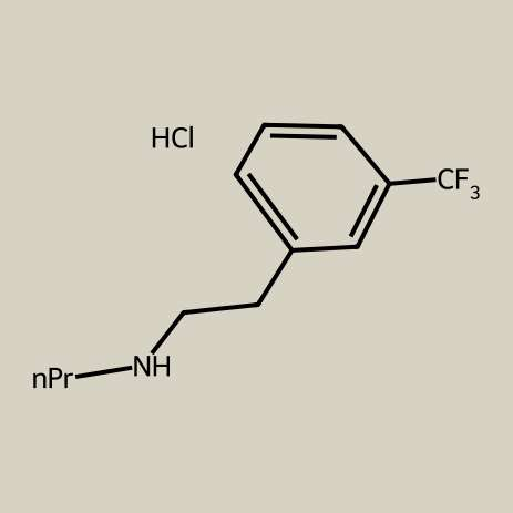 CCCNCCc1cccc(C(F)(F)F)c1.Cl